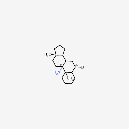 CC[C@H]1CC2C3CCCC3(C)CC[C@]2(N)C2(C)CCCCC12